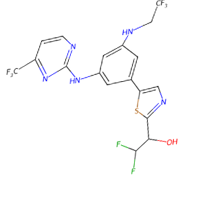 OC(c1ncc(-c2cc(NCC(F)(F)F)cc(Nc3nccc(C(F)(F)F)n3)c2)s1)C(F)F